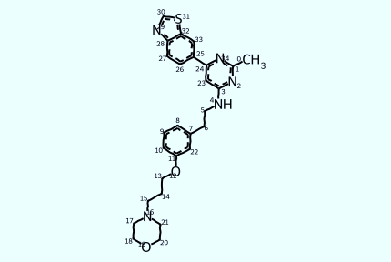 Cc1nc(NCCc2cccc(OCCCN3CCOCC3)c2)cc(-c2ccc3ncsc3c2)n1